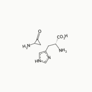 NC1CC1=O.N[C@H](Cc1c[nH]cn1)C(=O)O